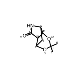 CC1(C)OC2CC3NC(=O)C2C3O1